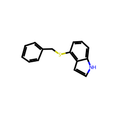 c1ccc(CSc2cccc3[nH]ccc23)cc1